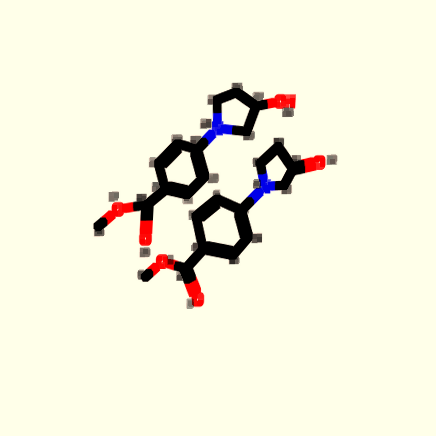 COC(=O)c1ccc(N2CCC(=O)C2)cc1.COC(=O)c1ccc(N2CCC(O)C2)cc1